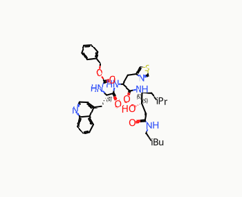 CCC(C)CNC(=O)C[C@H](O)[C@H](CC(C)C)NC(=O)C(Cc1cscn1)NC(=O)[C@H](Cc1ccnc2ccccc12)NC(=O)OCc1ccccc1